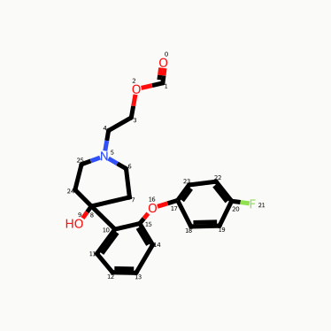 O=COCCN1CCC(O)(c2ccccc2Oc2ccc(F)cc2)CC1